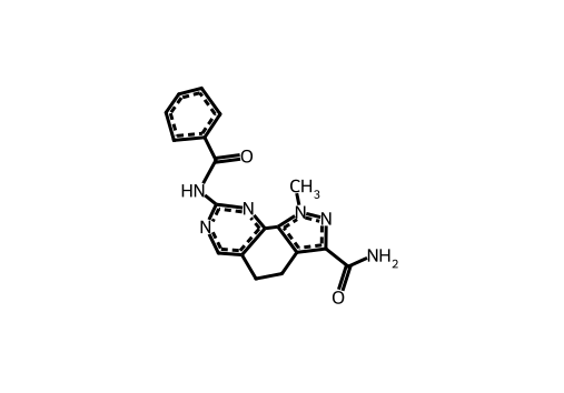 Cn1nc(C(N)=O)c2c1-c1nc(NC(=O)c3ccccc3)ncc1CC2